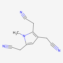 Cn1c(CC#N)cc(CC#N)c1CC#N